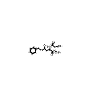 [CH2][CH]CNC(=O)C(CC(=O)OCc1ccccc1)NC(=O)OC(C)(C)C